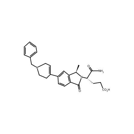 C[C@@H]1c2cc(C3=CCN(Cc4ccccc4)CC3)ccc2C(=O)N1[C@@H](CCC(=O)O)C(N)=O